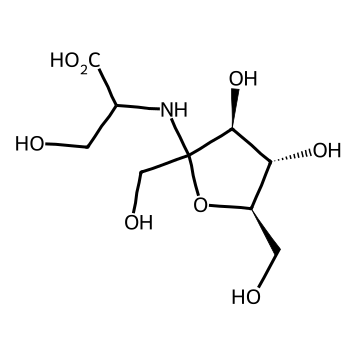 O=C(O)C(CO)NC1(CO)O[C@H](CO)[C@@H](O)[C@@H]1O